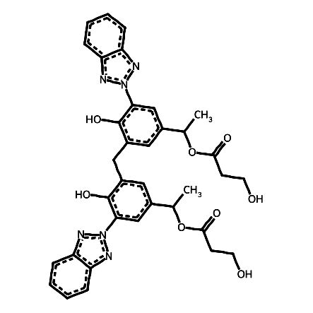 CC(OC(=O)CCO)c1cc(Cc2cc(C(C)OC(=O)CCO)cc(-n3nc4ccccc4n3)c2O)c(O)c(-n2nc3ccccc3n2)c1